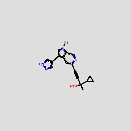 CCn1cc(-c2cn[nH]c2)c2cc(C#CC(C)(O)C3CC3)ncc21